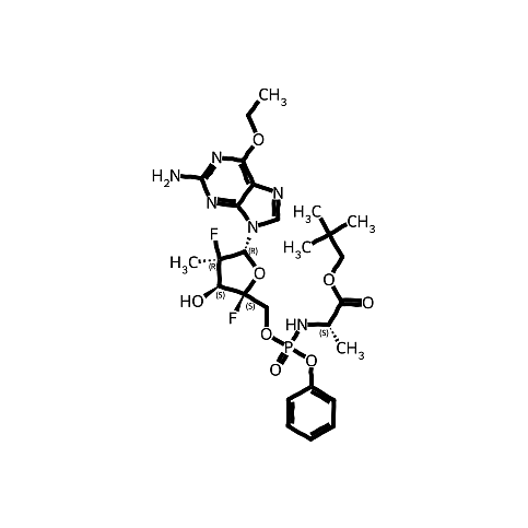 CCOc1nc(N)nc2c1ncn2[C@@H]1O[C@](F)(COP(=O)(N[C@@H](C)C(=O)OCC(C)(C)C)Oc2ccccc2)[C@@H](O)[C@@]1(C)F